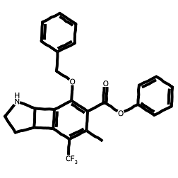 Cc1c(C(=O)Oc2ccccc2)c(OCc2ccccc2)c2c(c1C(F)(F)F)C1CCNC21